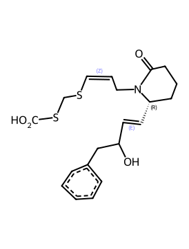 O=C(O)SCS/C=C\CN1C(=O)CCC[C@@H]1/C=C/C(O)Cc1ccccc1